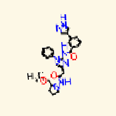 COCC1CCCN1NC(=O)Cc1cn(-c2ccccc2)c(NC(=O)c2cccc(-c3cn[nH]c3)c2)n1